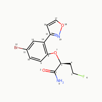 NC(=O)[C@H](CCF)Oc1ccc(Br)cc1-c1ccon1